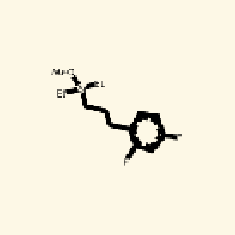 CC[Si](CC)(CCCc1ccc(F)cc1F)OC